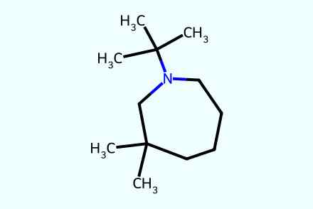 CC1(C)CCCCN(C(C)(C)C)C1